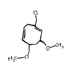 COC1C=CC(Cl)=CC1OC